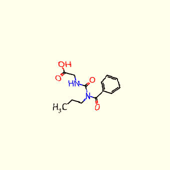 CCCN(C(=O)NCC(=O)O)C(=O)c1ccccc1